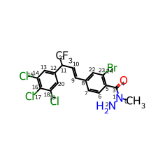 CN(N)C(=O)c1ccc(C=CC(c2cc(Cl)c(Cl)c(Cl)c2)C(F)(F)F)cc1Br